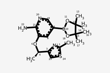 Cc1nc([C@@H](C)Oc2cc(B3OC(C)(C)C(C)(C)O3)cnc2N)cs1